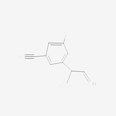 C#Cc1cc(F)cc([C](C)C=C)c1